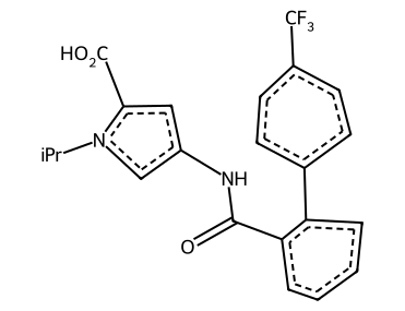 CC(C)n1cc(NC(=O)c2ccccc2-c2ccc(C(F)(F)F)cc2)cc1C(=O)O